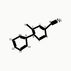 Cc1cc(C#N)ccc1-c1ccccc1